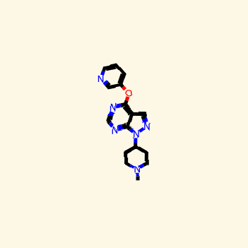 CN1CCC(n2ncc3c(Oc4cccnc4)ncnc32)CC1